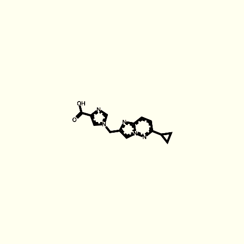 O=C(O)c1cn(Cc2cn3nc(C4CC4)ccc3n2)cn1